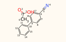 CC(=O)O.N#Cc1ccc(-c2ccccc2)cc1